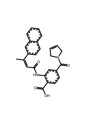 C/C(=C/C(=O)Nc1cc(C(=O)N2CC=CC2)ccc1C(=O)O)c1ccc2ccccc2c1